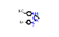 N#CCc1ccc(Nc2nc(Nc3ccc(C#N)cc3)ncc2F)cc1